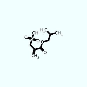 C=C(CS(=O)(=O)O)C(=O)OCC(C)C